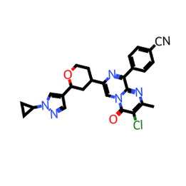 Cc1nc2c(-c3ccc(C#N)cc3)nc(C3CCOC(c4cnn(C5CC5)c4)C3)cn2c(=O)c1Cl